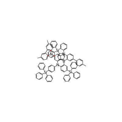 Cc1ccc(-c2ccc3c(c2)B2c4cc([Si](c5ccccc5)(c5ccccc5)c5ccccc5)ccc4N(c4ccc([Si](c5ccccc5)(c5ccccc5)c5ccccc5)cc4)c4cc(-n5c6ccc(C)cc6c6cc(C)ccc65)cc(c42)N3c2ccccc2[Si](c2ccccc2)(c2ccccc2)c2ccccc2)cc1